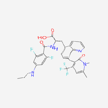 CCCNc1cc(F)c(C(=O)NC(Cc2ccc(-c3c(C(F)(F)F)cc(C)n(C)c3=O)c3ncccc23)C(=O)O)c(F)c1